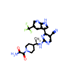 C[C@@H](Nc1ncc(C#N)c(-c2c[nH]c3ncc(C(F)(F)F)cc23)n1)C1CCN(C(=O)C(N)=O)CC1